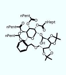 CCCCCCCC(=O)O[C@@H]1[C@H](OC(O)[C@H]2OC(C)(C)O[C@H]2[C@@H]2OC(C)(C)O[C@@H]2COCc2ccccc2)O[C@H](COC(=O)CCCCC)[C@@H](OC(=O)CCCCC)[C@@H]1OC(=O)CCCCC